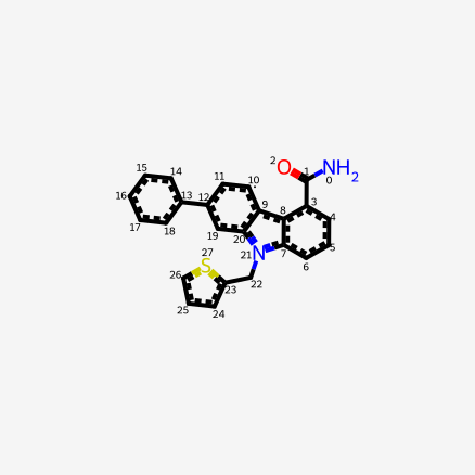 NC(=O)c1cccc2c1c1[c]cc(-c3ccccc3)cc1n2Cc1cccs1